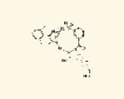 Cc1cccc(C)c1-c1nc2nc(c1C)OC[C@@H](CC(C)(C)C)N([C@H]1CC3(C[C@H](CO)C3)C1)C(=O)c1cccc(c1)S(=O)(=O)N2